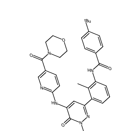 Cc1c(NC(=O)c2ccc(C(C)(C)C)cc2)cccc1-c1cc(Nc2ccc(C(=O)N3CCOCC3)cn2)c(=O)n(C)n1